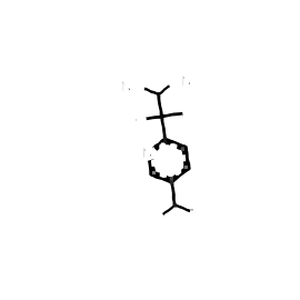 CCOC(=O)C(C)(c1ccc(C(F)F)cn1)C(C#N)C#N